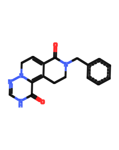 O=C1NC=NN2CC=C3C(=O)N(Cc4ccccc4)CCC3=C12